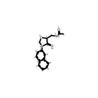 CC(=O)NCC1OCN(c2ccc3ccccc3c2)C1=O